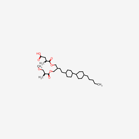 C=C(COC)C(=O)OCC(CCC1CCC(C2CCC(CCCCC)CC2)CC1)COC(=O)C(=C)CC(=O)O